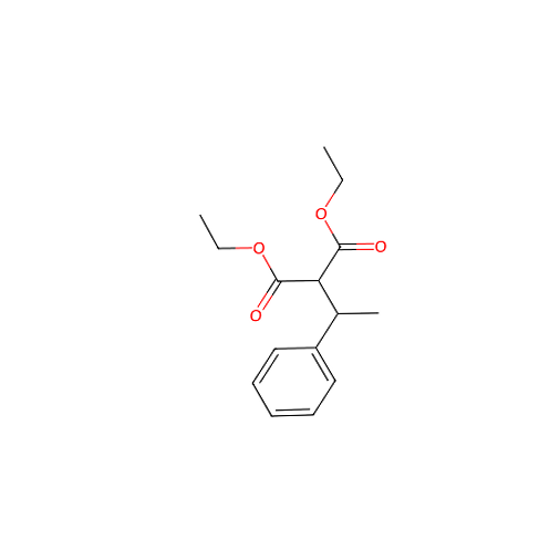 CCOC(=O)C(C(=O)OCC)C(C)c1ccccc1